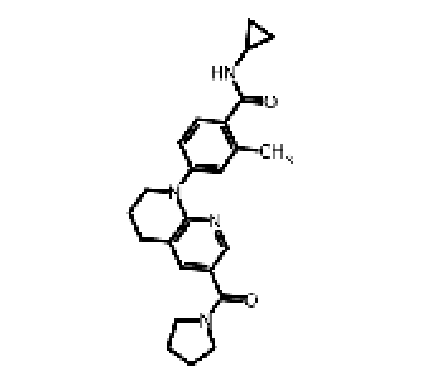 Cc1cc(N2CCCc3cc(C(=O)N4CCCC4)cnc32)ccc1C(=O)NC1CC1